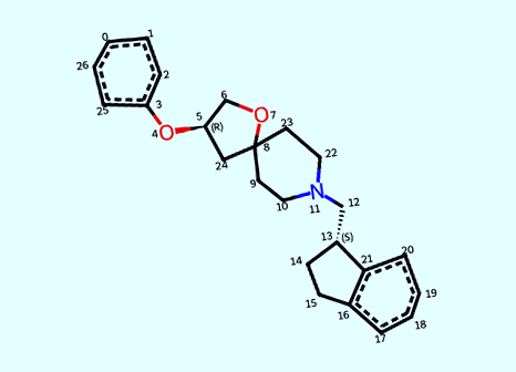 c1ccc(O[C@H]2COC3(CCN(C[C@H]4CCc5ccccc54)CC3)C2)cc1